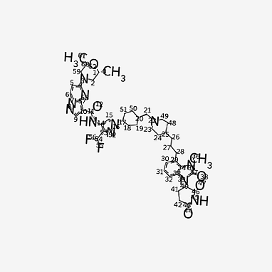 C[C@@H]1CN(c2ccn3ncc(C(=O)Nc4cn([C@H]5CC[C@H](CN6CCC(CCCc7cccc8c7n(C)c(=O)n8C7CCC(=O)NC7=O)CC6)CC5)nc4C(F)F)c3n2)C[C@H](C)O1